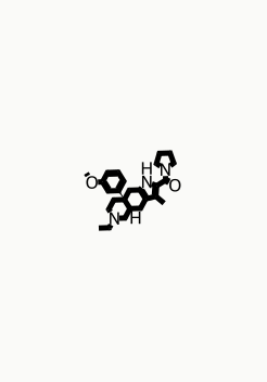 CCN1CC[C@@]2(c3cccc(OC)c3)Cc3[nH]c(C(=O)N4CCCC4)c(C)c3C[C@@H]2C1